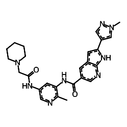 Cc1ncc(NC(=O)CN2CCCCC2)cc1NC(=O)c1cnc2[nH]c(-c3cnn(C)c3)cc2c1